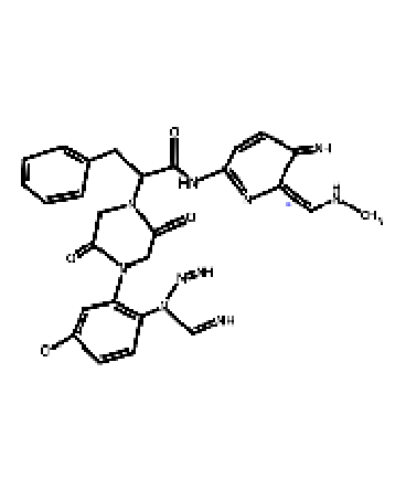 CN/C=C1/N=C(NC(=O)C(Cc2ccccc2)N2CC(=O)N(c3cc(Cl)ccc3N(C=N)N=N)CC2=O)C=CC1=N